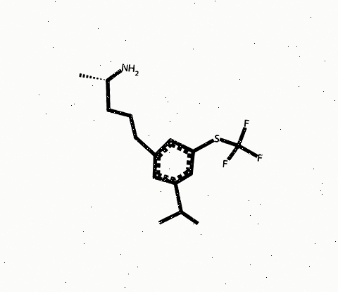 CC(C)c1cc(CCC[C@H](C)N)cc(SC(F)(F)F)c1